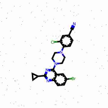 N#Cc1ccc(N2CCN(c3nc(C4CC4)nc4ccc(Br)cc34)CC2)c(Cl)c1